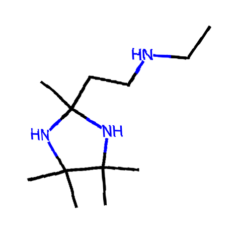 CCNCCC1(C)NC(C)(C)C(C)(C)N1